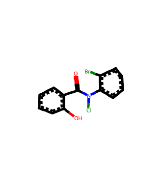 O=C(c1ccccc1O)N(Cl)c1ccccc1Br